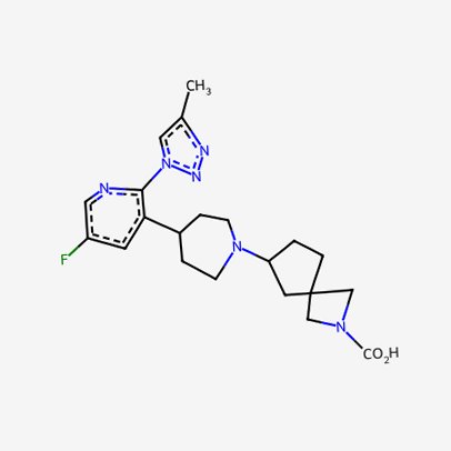 Cc1cn(-c2ncc(F)cc2C2CCN(C3CCC4(C3)CN(C(=O)O)C4)CC2)nn1